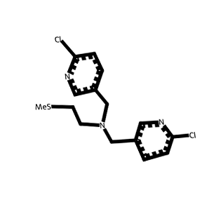 CSCCN(Cc1ccc(Cl)nc1)Cc1ccc(Cl)nc1